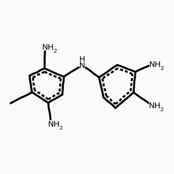 Cc1cc(N)c(Nc2ccc(N)c(N)c2)cc1N